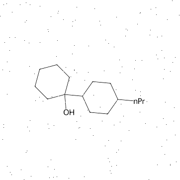 CCCC1CCC(C2(O)CCCCC2)CC1